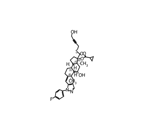 C[C@]12Cc3cnn(-c4ccc(F)cc4)c3C=C1CC[C@@H]1[C@@H]2[C@@H](O)C[C@@]2(C)[C@H]1CC[C@]2(OC(=O)C1CC1)C(=O)SCC#CCO